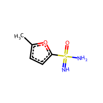 Cc1ccc(S(=N)(N)=O)o1